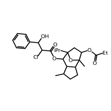 CCC(=O)OC1CC2(C(C)C)OC1(C)C1CCC(C)C1C2OC(=O)C(Cl)C(O)c1ccccc1